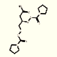 O=C(O)CC(CSSC(=S)N1CCCC1)SSC(=S)N1CCCC1